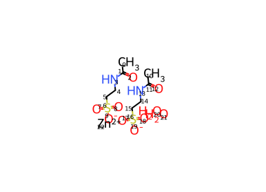 CC(=O)NCCS(=O)(=O)[O-].CC(=O)NCCS(=O)(=O)[O-].O.O.[Zn+2]